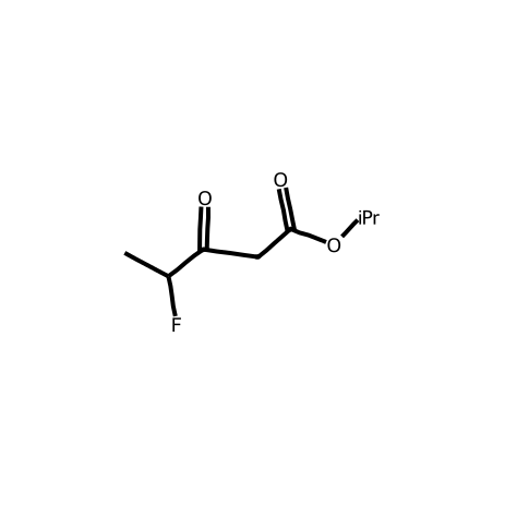 CC(C)OC(=O)CC(=O)C(C)F